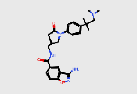 CN(C)CC(C)(C)c1ccc(N2CC(CNC(=O)c3ccc4onc(N)c4c3)CC2=O)cc1